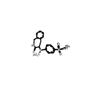 CC(C)(C)NS(=O)(=O)c1ccc(N(C(=O)O)C2Cc3ccccc3CNC2=O)cc1